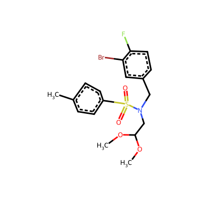 COC(CN(Cc1ccc(F)c(Br)c1)S(=O)(=O)c1ccc(C)cc1)OC